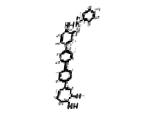 N=C1C=C(c2ccc(-c3ccc(C4=C/C(=N/Nc5ccccc5)C(=N)C=C4)cc3)cc2)C=CCC1=N